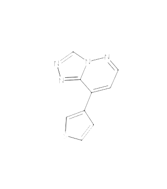 c1cc(-c2ccsc2)c2nncn2n1